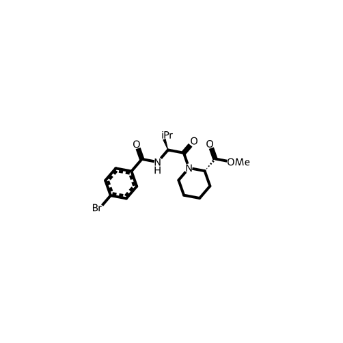 COC(=O)[C@@H]1CCCCN1C(=O)[C@@H](NC(=O)c1ccc(Br)cc1)C(C)C